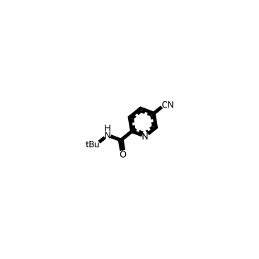 CC(C)(C)NC(=O)c1ccc(C#N)cn1